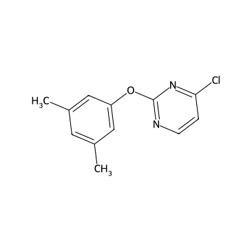 Cc1cc(C)cc(Oc2nccc(Cl)n2)c1